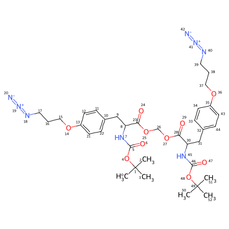 CC(C)(C)OC(=O)NC(Cc1ccc(OCCCN=[N+]=[N-])cc1)C(=O)OCOC(=O)C(Cc1ccc(OCCCN=[N+]=[N-])cc1)NC(=O)OC(C)(C)C